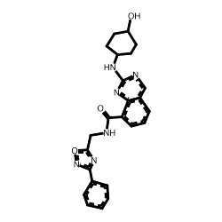 O=C(NCc1nc(-c2ccccc2)no1)c1cccc2cnc(NC3CCC(O)CC3)nc12